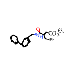 CCOC(=O)CC(CC(C)C)C(=O)NCc1cccc(-c2ccccc2)c1